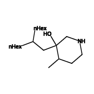 CCCCCCC(CCCCCC)CC1(O)CNCCC1C